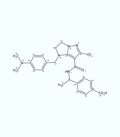 CC(NC(=O)c1c(C(F)(F)F)nn2c1N(Cc1ccc(N(C)C)cc1)CC2)c1ccc(C(=O)O)cc1